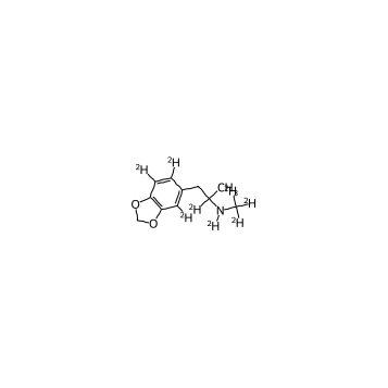 [2H]c1c([2H])c2c(c([2H])c1CC([2H])(C)N([2H])C([2H])([2H])[2H])OCO2